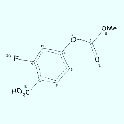 COC(=O)Oc1ccc(C(=O)O)c(F)c1